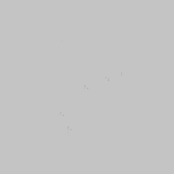 Cc1ccccc1-c1ccccc1CC1N=C(c2ccc3[nH]c(=O)[nH]c3c2)c2cc(Cl)ccc2N(C)C1=O